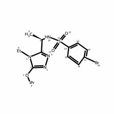 CCn1c(OC(C)C)nnc1[C@@H](C)NS(=O)(=O)c1ccc(Br)cc1